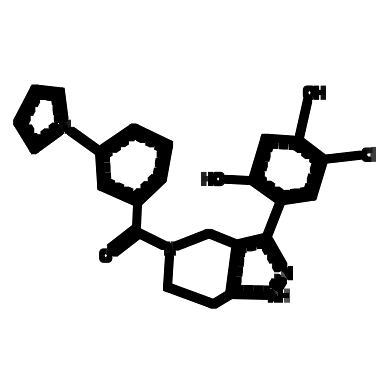 O=C(c1cccc(-n2cccc2)c1)N1CCc2[nH]nc(-c3cc(Cl)c(O)cc3O)c2C1